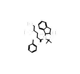 CC1(C)O[C@@H]2Cc3ccccc3[C@@H]2N1C(=O)[C@H](Cc1ccccc1)C[C@@H](O)CO